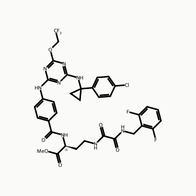 COC(=O)[C@H](CCNC(=O)C(=O)NCc1c(F)cccc1F)NC(=O)c1ccc(Nc2nc(NC3(c4ccc(Cl)cc4)CC3)nc(OCC(F)(F)F)n2)cc1